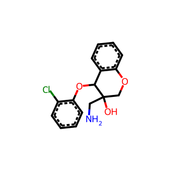 NCC1(O)COc2ccccc2C1Oc1ccccc1Cl